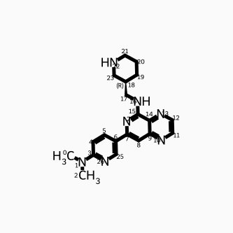 CN(C)c1ccc(-c2cc3nccnc3c(NC[C@@H]3CCCNC3)n2)cn1